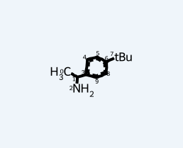 CC(N)c1ccc(C(C)(C)C)cc1